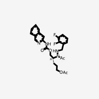 CC(=O)OCCC[C@H](COC(=O)Nc1cc2ccccc2cn1)N(NCc1cccc(F)c1F)C(C)=O